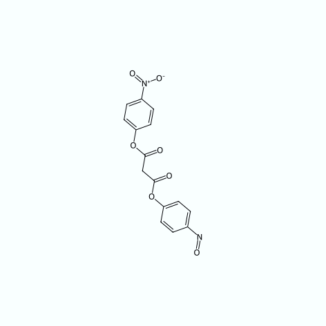 O=Nc1ccc(OC(=O)CC(=O)Oc2ccc([N+](=O)[O-])cc2)cc1